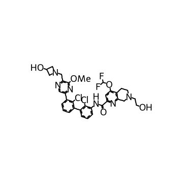 COc1nc(-c2cccc(-c3cccc(NC(=O)c4cc(OC(F)F)c5c(n4)CN(CCO)CC5)c3Cl)c2Cl)cnc1CN1CC(O)C1